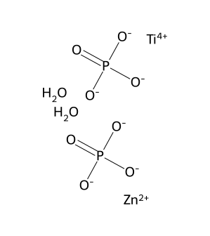 O.O.O=P([O-])([O-])[O-].O=P([O-])([O-])[O-].[Ti+4].[Zn+2]